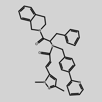 Cc1cc(C=CC(=O)N(Cc2ccc(-c3ccccn3)cc2)C(Cc2ccccc2)C(=O)N2CCc3ccccc3C2)n(C)n1